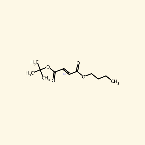 CCCCOC(=O)/C=C/C(=O)OC(C)(C)C